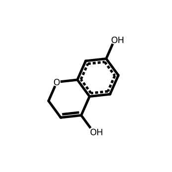 OC1=CCOc2cc(O)ccc21